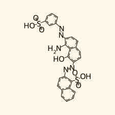 Nc1c(N=Nc2cccc(S(=O)(=O)O)c2)ccc2ccc(N=Nc3ccc4ccccc4c3S(=O)(=O)O)c(O)c12